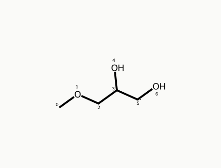 COCC(O)[CH]O